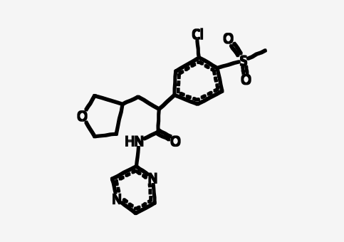 CS(=O)(=O)c1ccc(C(CC2CCOC2)C(=O)Nc2cnccn2)cc1Cl